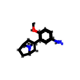 COc1ccc(N)cc1C1CC2CCC(C1)N2C